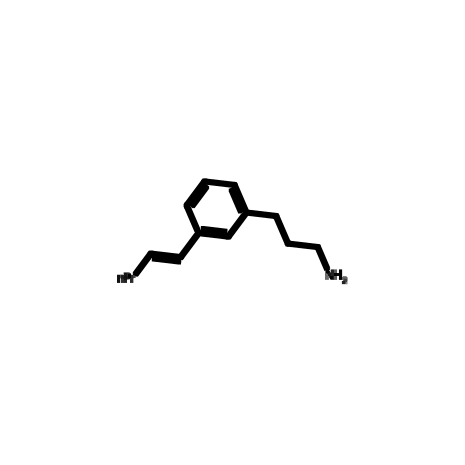 CCC/C=C/c1cccc(CCCN)c1